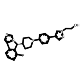 OCCn1cc(-c2ccc(N3CCC([C@H]4c5c(F)cccc5-c5cncn54)CC3)cc2)cn1